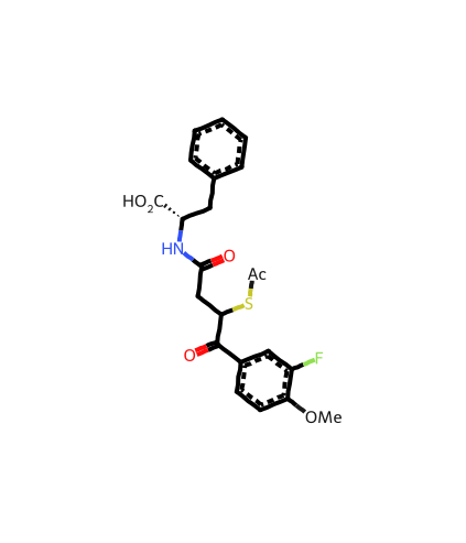 COc1ccc(C(=O)C(CC(=O)N[C@@H](Cc2ccccc2)C(=O)O)SC(C)=O)cc1F